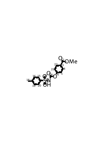 COC(=O)c1ccc(OC(=O)NS(=O)(=O)c2ccc(C)cc2)cc1